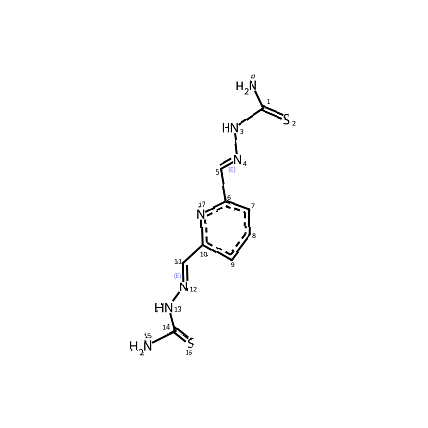 NC(=S)N/N=C/c1cccc(/C=N/NC(N)=S)n1